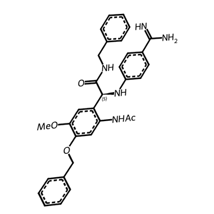 COc1cc([C@H](Nc2ccc(C(=N)N)cc2)C(=O)NCc2ccccc2)c(NC(C)=O)cc1OCc1ccccc1